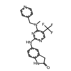 CN(Cc1ccncc1)c1nc(Nc2ccc3c(c2)CC(=O)N3)ncc1C(F)(F)F